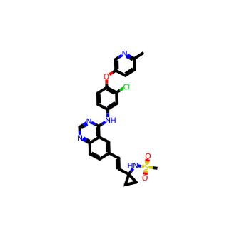 Cc1ccc(Oc2ccc(Nc3ncnc4ccc(C=CC5(NS(C)(=O)=O)CC5)cc34)cc2Cl)cn1